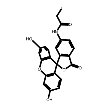 O=C(CI)Nc1ccc2c(c1)C1(OC2=O)c2ccc(O)cc2Oc2cc(O)ccc21